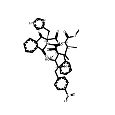 CC[C@H](C)[C@@H](C(=O)OC)N(C(=O)CC(O)[C@@H](N)Cc1ccc([N+](=O)[O-])cc1)C(=O)[C@@]1(Cc2c[nH]cn2)C(=O)c2ccccc2C(=O)N1C(=O)[C@@H](N)Cc1ccccc1